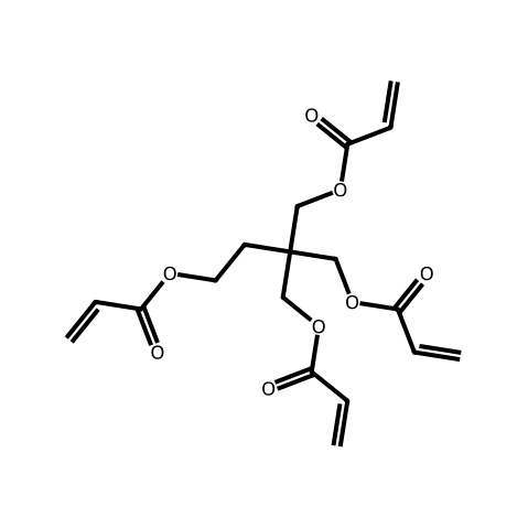 C=CC(=O)OCCC(COC(=O)C=C)(COC(=O)C=C)COC(=O)C=C